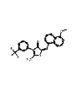 COc1cccc2c(C=C3OC(N)=C(c4cccc(C(F)(F)F)c4)C3=O)cccc12